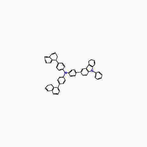 C1=Cc2cccc(-c3ccc(N(c4ccc(-c5ccc6c(c5)c5c(n6-c6ccccc6)C=CCC5)cc4)c4ccc(C5CC=Cc6ccccc65)cc4)cc3)c2CC1